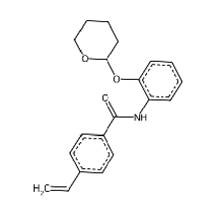 C=Cc1ccc(C(=O)Nc2ccccc2OC2CCCCO2)cc1